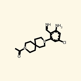 CC(=O)N1CCC2(CC1)CCN(c1cc(Cl)cc(N)c1C=N)CC2